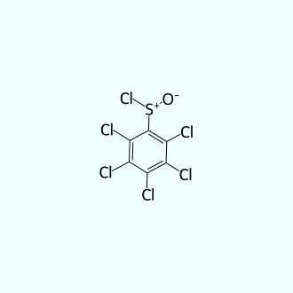 [O-][S+](Cl)c1c(Cl)c(Cl)c(Cl)c(Cl)c1Cl